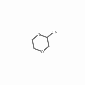 N#CC1COCC[N]1